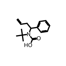 C=CCC(c1ccccc1)N(C(=O)O)C(C)(C)C